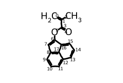 C=C(C)C(=O)OC1=Cc2cccc3cccc1c23